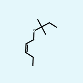 CC/C=C\CSC(C)(C)CC